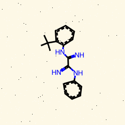 CC(C)(C)c1ccccc1NC(=N)C(=N)Nc1ccccc1